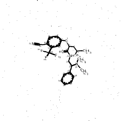 CC(C)CC(Oc1ccc(C#N)c(C(F)(F)F)c1)C(=O)NCC(c1ccccc1)N(C)C